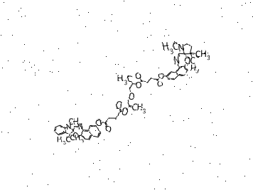 CC(COCC(C)OC(=O)CCC(=O)Oc1ccc2ccc3c(c2c1)N=CC1(O3)N(C)c2ccccc2C1(C)C)OC(=O)CCC(=O)Oc1ccc2ccc3c(c2c1)N=CC1(O3)N(C)CCC1(C)C